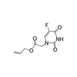 C=CCOC(=O)Cn1cc(F)c(=O)[nH]c1=O